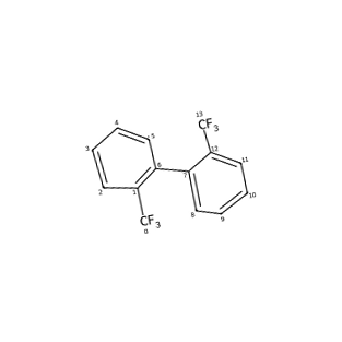 FC(F)(F)c1ccc[c]c1-c1ccccc1C(F)(F)F